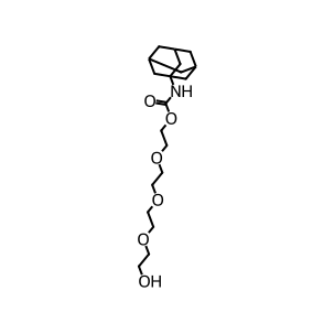 O=C(NC12CC3CC(CC(C3)C1)C2)OCCOCCOCCOCCO